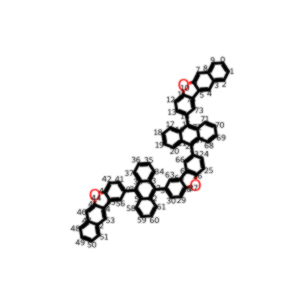 c1ccc2cc3c(cc2c1)oc1ccc(-c2c4ccccc4c(-c4ccc5oc6ccc(-c7c8ccccc8c(-c8ccc9oc%10cc%11ccccc%11cc%10c9c8)c8ccccc78)cc6c5c4)c4ccccc24)cc13